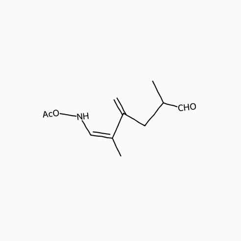 C=C(CC(C)C=O)/C(C)=C\NOC(C)=O